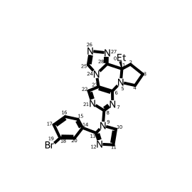 CC[C@@]12CCCN1c1nc(-n3ccnc3-c3cccc(Br)c3)ncc1-n1cnnc12